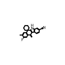 C=C1c2cc(F)c(C)cc2C2(CCCCC2)c2[nH]c3cc(C#N)ccc3c21